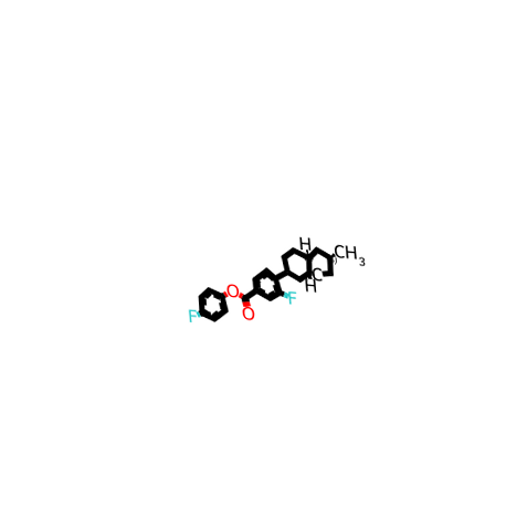 C[C@H]1CC[C@@H]2CC(c3ccc(C(=O)Oc4ccc(F)cc4)cc3F)CC[C@H]2C1